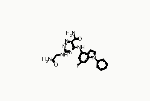 NC(=O)CNc1nnc(C(N)=O)c(Nc2cc(I)cc3c2ccn3-c2ccccc2)n1